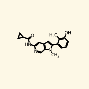 Cc1c(O)cccc1-c1cc2cc(NC(=O)C3CC3)ncc2n1C